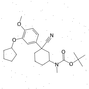 COc1ccc(C2(C#N)CCCC(N(C)C(=O)OC(C)(C)C)C2)cc1OC1CCCC1